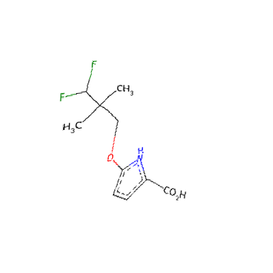 CC(C)(COc1ccc(C(=O)O)[nH]1)C(F)F